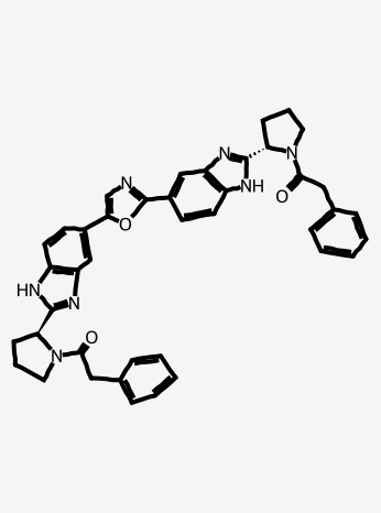 O=C(Cc1ccccc1)N1CCC[C@H]1c1nc2cc(-c3cnc(-c4ccc5[nH]c([C@@H]6CCCN6C(=O)Cc6ccccc6)nc5c4)o3)ccc2[nH]1